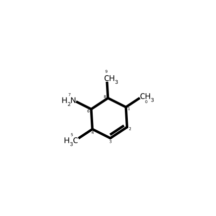 CC1C=CC(C)C(N)C1C